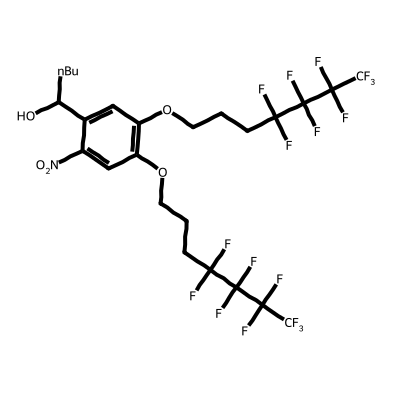 CCCCC(O)c1cc(OCCCC(F)(F)C(F)(F)C(F)(F)C(F)(F)F)c(OCCCC(F)(F)C(F)(F)C(F)(F)C(F)(F)F)cc1[N+](=O)[O-]